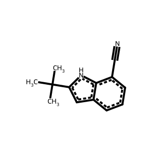 CC(C)(C)c1cc2cccc(C#N)c2[nH]1